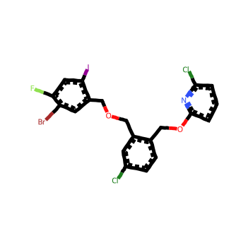 Fc1cc(I)c(COCc2cc(Cl)ccc2COc2cccc(Cl)n2)cc1Br